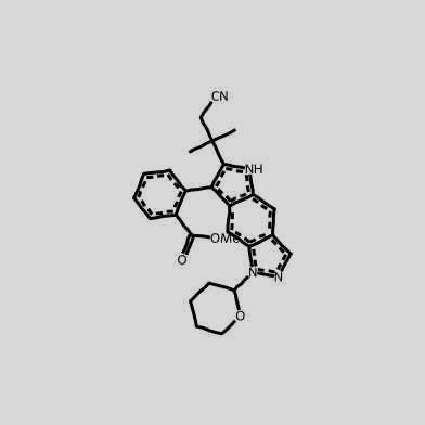 COC(=O)c1ccccc1-c1c(C(C)(C)CC#N)[nH]c2cc3cnn(C4CCCCO4)c3cc12